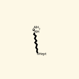 CCCCCCCCCCCCCCC[CH2][AlH][O][AlH2]